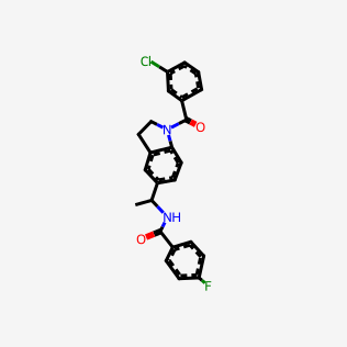 CC(NC(=O)c1ccc(F)cc1)c1ccc2c(c1)CCN2C(=O)c1cccc(Cl)c1